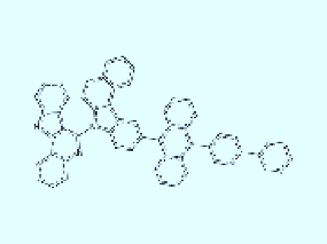 c1ccc(-c2ccc(-c3c4ccccc4c(-c4ccc5c(c4)c4c6ccccc6ccc4n5-c4nc5ccccc5c5nc6ccccc6n45)c4ccccc34)cc2)cc1